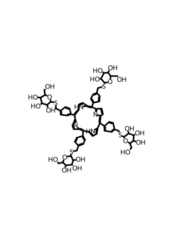 OCC1OC(SCc2ccc(-c3c4nc(c(-c5ccc(CSC6OC(CO)C(O)C(O)C6O)cc5)c5ccc([nH]5)c(-c5ccc(CSC6OC(CO)C(O)C(O)C6O)cc5)c5nc(c(-c6ccc(CSC7OC(CO)C(O)C(O)C7O)cc6)c6ccc3[nH]6)C=C5)C=C4)cc2)C(O)C(O)C1O